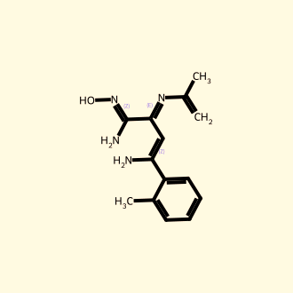 C=C(C)/N=C(\C=C(/N)c1ccccc1C)C(/N)=N/O